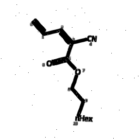 C=CC=C(C#N)C(=O)OCCCCCCCC